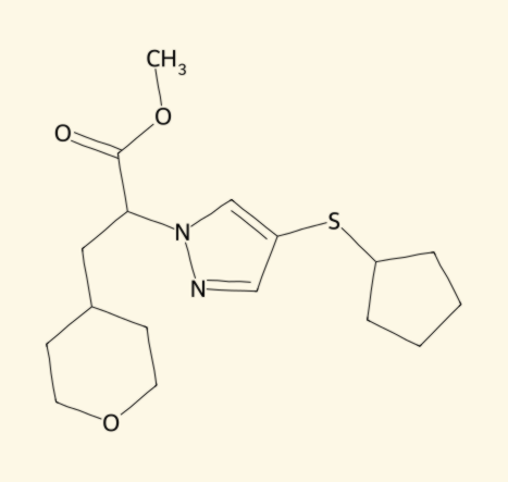 COC(=O)C(CC1CCOCC1)n1cc(SC2CCCC2)cn1